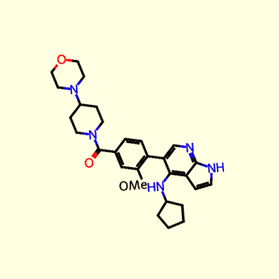 COc1cc(C(=O)N2CCC(N3CCOCC3)CC2)ccc1-c1cnc2[nH]ccc2c1NC1CCCC1